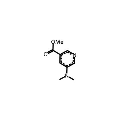 COC(=O)c1cncc(N(C)C)c1